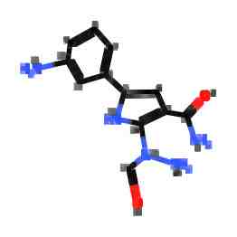 NC(=O)c1cc(-c2cccc(N)c2)[nH]c1N(N)C=O